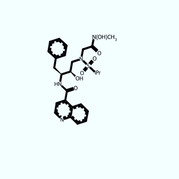 CC(C)S(=O)(=O)N(CC(=O)N(C)O)C[C@@H](O)[C@H](Cc1ccccc1)NC(=O)c1ccnc2ccccc12